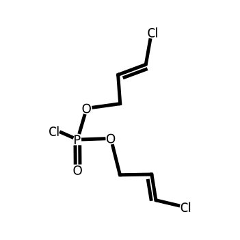 O=P(Cl)(OCC=CCl)OCC=CCl